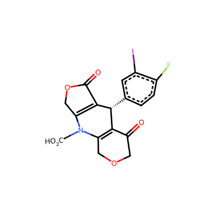 O=C1COCC2=C1[C@@H](c1ccc(F)c(I)c1)C1=C(COC1=O)N2C(=O)O